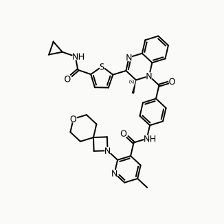 Cc1cnc(N2CC3(CCOCC3)C2)c(C(=O)Nc2ccc(C(=O)N3c4ccccc4N=C(c4ccc(C(=O)NC5CC5)s4)[C@@H]3C)cc2)c1